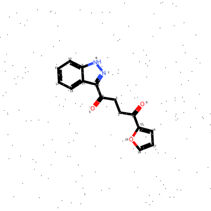 O=C(CCC(=O)c1n[nH]c2ccccc12)c1ccco1